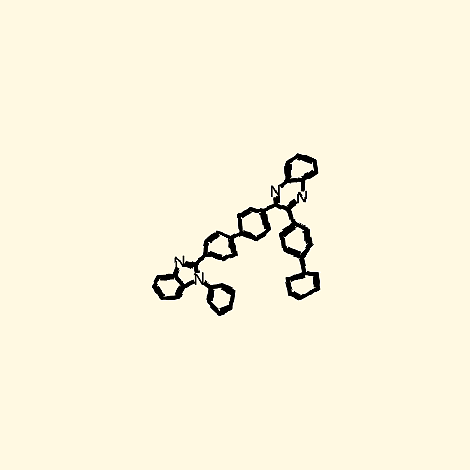 c1ccc(-c2ccc(-c3nc4ccccc4nc3-c3ccc(-c4ccc(-c5nc6ccccc6n5-c5ccccc5)cc4)cc3)cc2)cc1